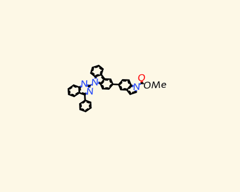 COC(=O)n1ccc2cc(-c3ccc4c(c3)c3ccccc3n4-c3nc(-c4ccccc4)c4ccccc4n3)ccc21